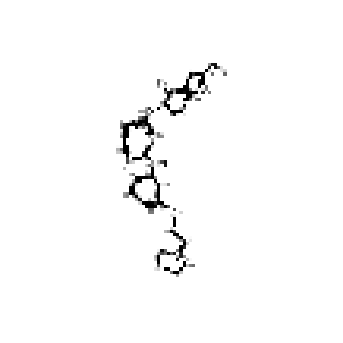 Cc1cc2c(F)c(Nc3ccnc(Nc4cccc(OCCN5CCCC5)c4)n3)ccc2[nH]1